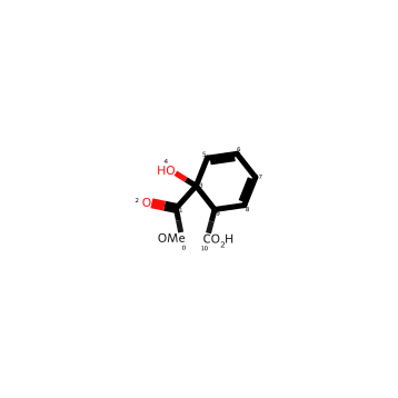 COC(=O)C1(O)C=CC=CC1C(=O)O